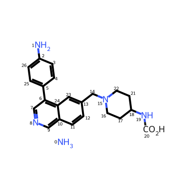 N.Nc1ccc(-c2cncc3ccc(CN4CCC(NC(=O)O)CC4)cc23)cc1